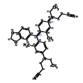 CCN(CCC#N)c1ccc(/C(=C2C=C/C(=[N+](\CC)CCC#N)C=C/2C)c2ccc3c(c2)OCO3)c(C)c1